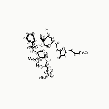 C=C1C[C@H](CCC=O)OC1CC[C@H]1C[C@@H](C)C(=C)[C@@H](C[C@@H]2O[C@H](C[C@H](O)CO[Si](C)(C)C(C)(C)C)[C@H](OC)[C@H]2CS(=O)(=O)c2ccccc2)O1